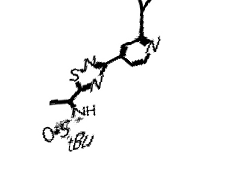 CC(N[S@+]([O-])C(C)(C)C)c1nc(-c2ccnc(C3CC3)c2)ns1